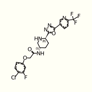 O=C(COc1ccc(Cl)c(F)c1)N[C@H]1CC[C@H](c2nnc(-c3ccc(C(F)(F)F)nc3)o2)NC1